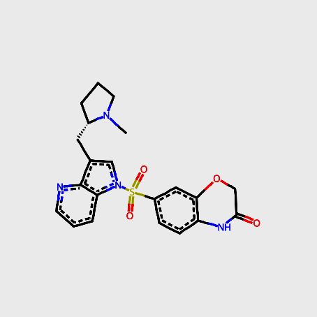 CN1CCC[C@H]1Cc1cn(S(=O)(=O)c2ccc3c(c2)OCC(=O)N3)c2cccnc12